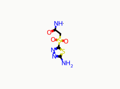 [NH]C(=O)CS(=O)(=O)c1nnc(N)s1